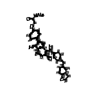 CNC(=O)COc1ccc(-c2nc3c(NC4CCN(Cc5ccc6c(c5)CCO6)CC4)c(Cl)cnc3[nH]2)cc1